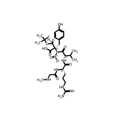 CNCC(=O)N[C@@H](CCCNC(=N)N)C(=O)N[C@H](C(=O)N([N+](=O)[O-])[C@@](Cc1ccc(O)cc1)(C(=O)O)C(=O)OC(C)(C)C)C(C)C